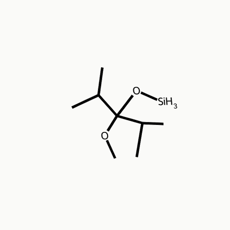 COC(O[SiH3])(C(C)C)C(C)C